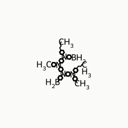 Bc1ccc(N(c2ccc(CCCC)cc2)c2ccc(N(c3ccc(C)cc3)c3ccc(N(c4ccc(B)cc4)c4ccc(N(c5ccc(C)cc5)c5ccc(CCCC)cc5)cc4)cc3)cc2)cc1